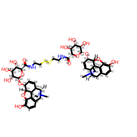 CN1CC[C@]23c4c5ccc(O)c4O[C@H]2[C@@H](O[C@@H]2O[C@H](C(=O)NCCSSCCNC(=O)[C@H]4O[C@@H](O[C@H]6C=CC7[C@H]8Cc9ccc(O)c%10c9[C@@]7(CCN8C)[C@H]6O%10)[C@H](O)[C@@H](O)[C@@H]4O)[C@@H](O)[C@H](O)[C@H]2O)C=CC3[C@H]1C5